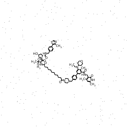 CCN(c1cc(-c2ccc(CN3CCN(C(=O)CCCCCCCCCCC(=O)NC(C(=O)N4C[C@H](O)C[C@@H]4C(=O)NCc4ccc(-c5scnc5C)cc4)C(C)(C)C)CC3)cc2)cc(C(=O)NCc2c(C)cc(C)[nH]c2=O)c1C)C1CCOCC1